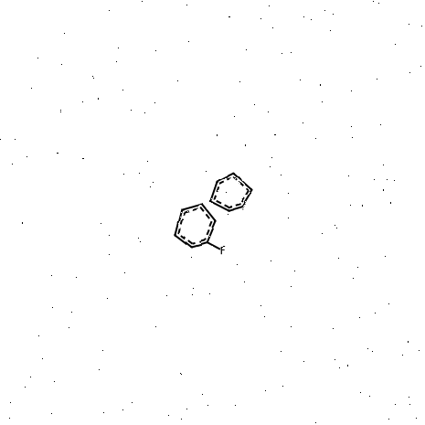 Fc1ccccc1.[c]1ccccc1